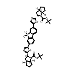 CC(C)(C)OC(=O)N1[C@@H]2CCC[C@@H]2C[C@H]1c1ncc(-c2ccc3c(c2)S(=O)(=O)c2cc(-c4cnc([C@@H]5C[C@@H]6CCC[C@@H]6N5C(=O)OC(C)(C)C)[nH]4)ccc2-3)[nH]1